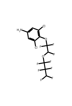 Nc1cc(Cl)c(OC(F)(F)C(F)OC(F)(F)C(F)(F)C(F)F)c(Cl)c1